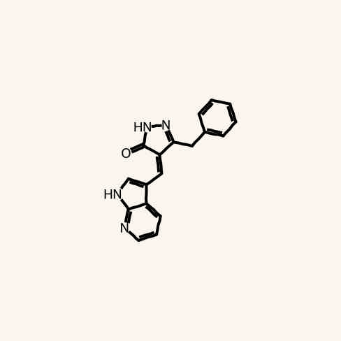 O=C1NN=C(Cc2ccccc2)/C1=C/c1c[nH]c2ncccc12